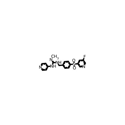 C/N=C(\NCc1ccc(S(=O)(=O)c2cncc(F)c2)cc1)Nc1ccncc1